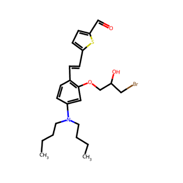 CCCCN(CCCC)c1ccc(C=Cc2ccc(C=O)s2)c(OCC(O)CBr)c1